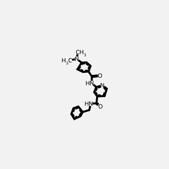 CN(C)c1ccc(C(=O)Nc2cc(C(=O)NCc3ccccc3)ccn2)cc1